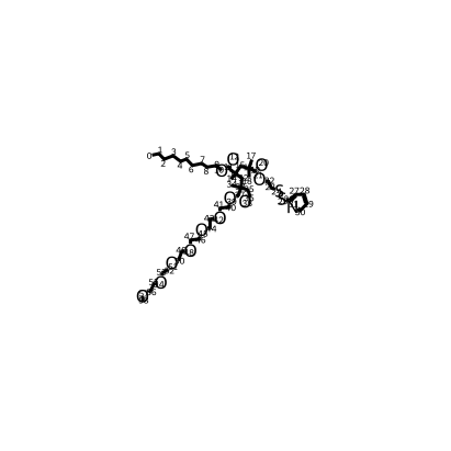 CCCCCCCCCCOC(=O)C(C)(CC(C)(C)C(=O)OCCSSc1ccccn1)CC(C)(CC)C(=O)OCCOCCOCCOCCOCCOCCOC